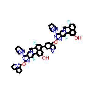 C#Cc1c(F)ccc2cc(O)cc(-c3ncc4c(N5CC6CCC(C5)N6)nc(OCC56CCC(c7cc(F)c(C#C)c8c(-c9ncc%10c(N%11CC%12CCC(C%11)N%12)nc(OCC%11CCCC%11%12CCCN%12C)nc%10c9F)cc(O)cc78)CC5N(C)CC6)nc4c3F)c12